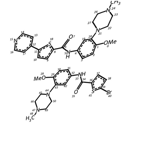 COc1ccc(NC(=O)c2ccc(-c3ccncc3)s2)cc1N1CCN(C)CC1.COc1ccc(NC(=O)c2ccc(Br)s2)cc1N1CCN(C)CC1